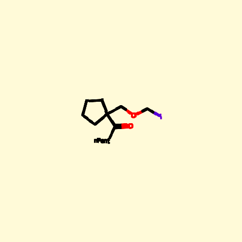 CCCCCC(=O)C1(COCI)CCCC1